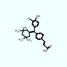 CC1(C)CC(=C(c2ccc(C=CC(=O)O)cc2)c2ccc(O)c(Cl)c2)CC(C)(C)C1